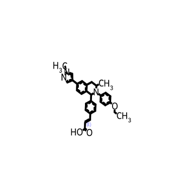 CCOc1ccc(N2C(C)Cc3cc(-c4cnn(C)c4)ccc3C2c2ccc(/C=C/C(=O)O)cc2)cc1